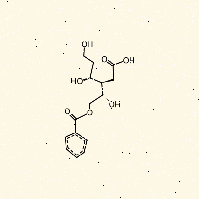 O=C(O)C[C@@H]([C@H](O)COC(=O)c1ccccc1)[C@@H](O)CCO